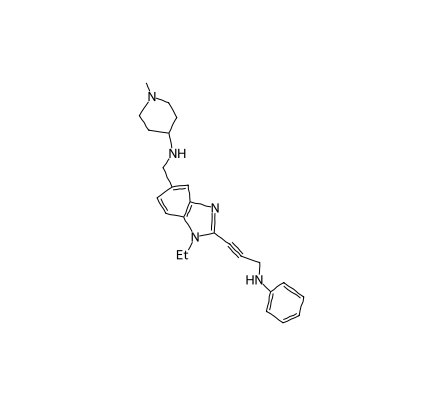 CCn1c(C#CCNc2ccccc2)nc2cc(CNC3CCN(C)CC3)ccc21